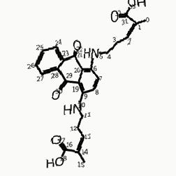 CC(=CCCNc1ccc(NCCC=C(C)C(=O)O)c2c1C(=O)c1ccccc1C2=O)C(=O)O